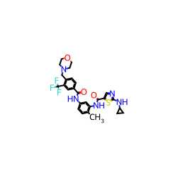 Cc1ccc(NC(=O)c2ccc(CN3CCOCC3)c(C(F)(F)F)c2)cc1NC(=O)c1cnc(NC2CC2)s1